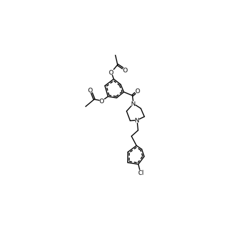 CC(=O)Oc1cc(OC(C)=O)cc(C(=O)N2CCN(CCc3ccc(Cl)cc3)CC2)c1